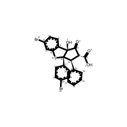 O=C(O)[C@H]1C(=O)[C@@]2(O)c3ccc(Br)cc3S[C@@]2(c2ccc(Br)cc2)[C@@H]1c1ccccc1